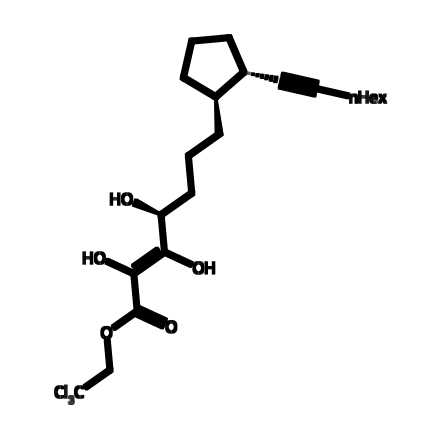 CCCCCCC#C[C@H]1CCC[C@@H]1CCC[C@H](O)C(O)=C(O)C(=O)OCC(Cl)(Cl)Cl